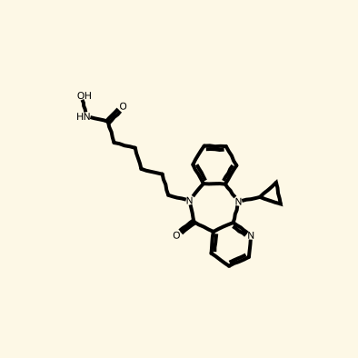 O=C(CCCCCN1C(=O)c2cccnc2N(C2CC2)c2ccccc21)NO